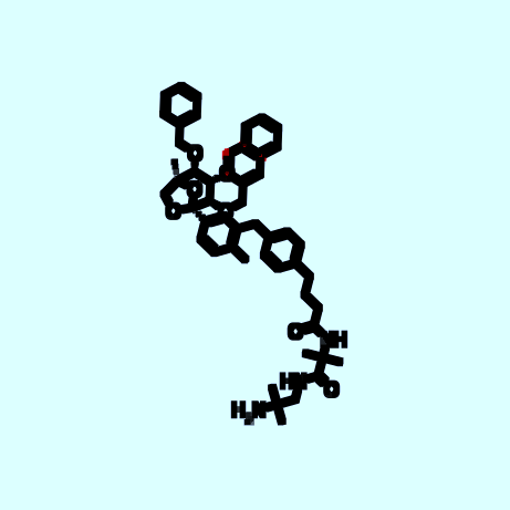 Cc1ccc([C@]23OC[C@](C)(O2)[C@@H](OCc2ccccc2)[C@H](OCc2ccccc2)[C@H]3OCc2ccccc2)cc1Cc1ccc(CCCC(=O)NC(C)(C)C(=O)NCC(C)(C)N)cc1